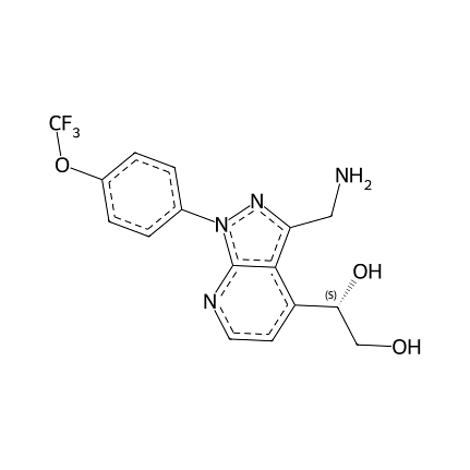 NCc1nn(-c2ccc(OC(F)(F)F)cc2)c2nccc([C@H](O)CO)c12